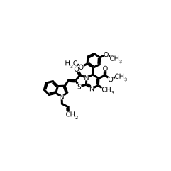 C=CCn1cc(/C=c2\sc3n(c2=O)C(c2cc(OC)ccc2OC)C(C(=O)OC)=C(C)N=3)c2ccccc21